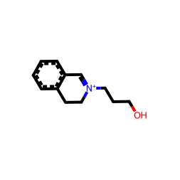 OCCC[N+]1=Cc2ccccc2CC1